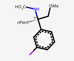 CCCCC[C@@](COC)(NC(=O)O)c1cccc(I)c1